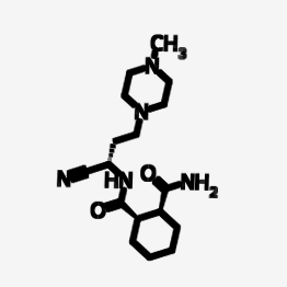 CN1CCN(CC[C@@H](C#N)NC(=O)[C@@H]2CCCC[C@@H]2C(N)=O)CC1